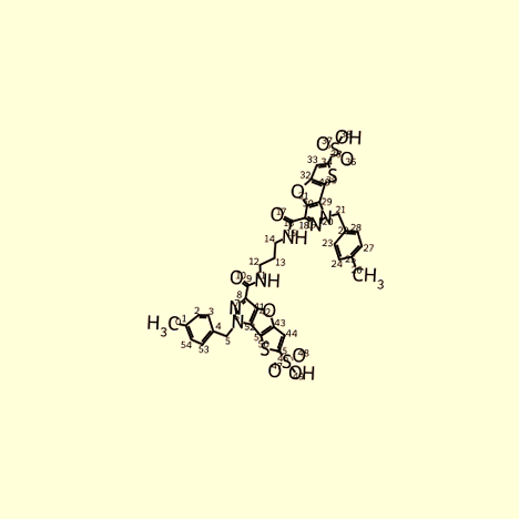 Cc1ccc(Cn2nc(C(=O)NCCCNC(=O)c3nn(Cc4ccc(C)cc4)c4c3oc3cc(S(=O)(=O)O)sc34)c3oc4cc(S(=O)(=O)O)sc4c32)cc1